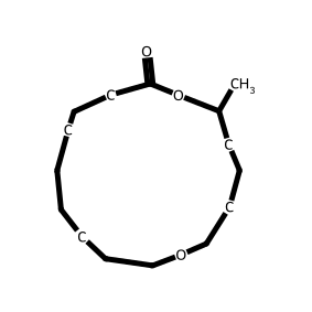 CC1CCCCOCCCCCCCCC(=O)O1